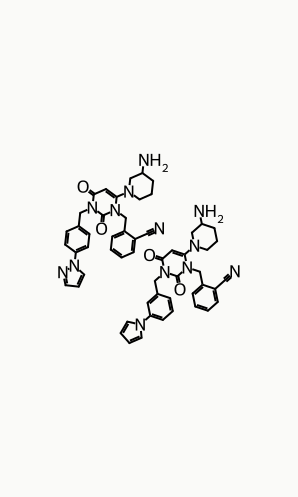 N#Cc1ccccc1Cn1c(N2CCCC(N)C2)cc(=O)n(Cc2ccc(-n3cccn3)cc2)c1=O.N#Cc1ccccc1Cn1c(N2CCCC(N)C2)cc(=O)n(Cc2cccc(-n3cccc3)c2)c1=O